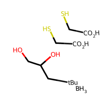 B.CC(C)(C)CC(O)CO.O=C(O)CS.O=C(O)CS